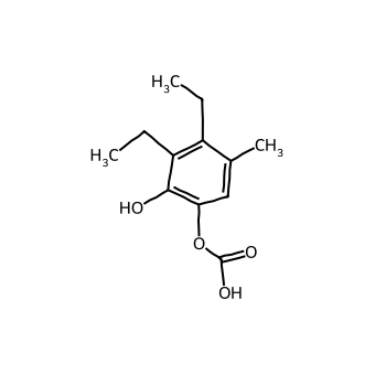 CCc1c(C)cc(OC(=O)O)c(O)c1CC